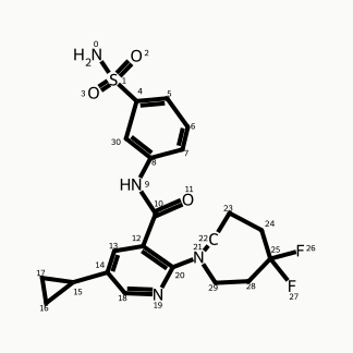 NS(=O)(=O)c1cccc(NC(=O)c2cc(C3CC3)cnc2N2CCCC(F)(F)CC2)c1